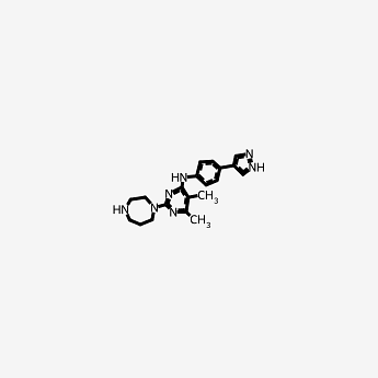 Cc1nc(N2CCCNCC2)nc(Nc2ccc(-c3cn[nH]c3)cc2)c1C